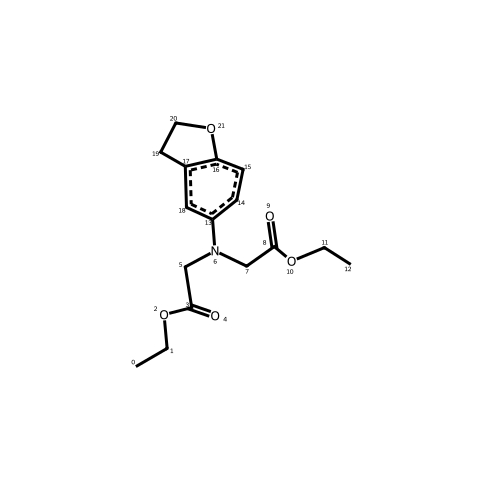 CCOC(=O)CN(CC(=O)OCC)c1ccc2c(c1)CCO2